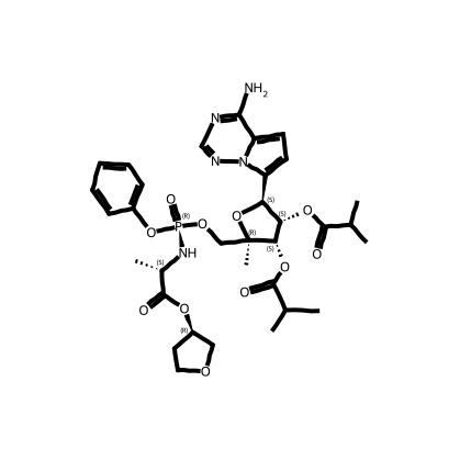 CC(C)C(=O)O[C@H]1[C@H](c2ccc3c(N)ncnn23)O[C@](C)(CO[P@](=O)(N[C@@H](C)C(=O)O[C@@H]2CCOC2)Oc2ccccc2)[C@H]1OC(=O)C(C)C